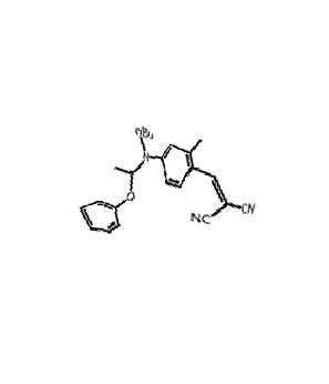 CCCCN(c1ccc(C=C(C#N)C#N)c(C)c1)C(C)Oc1ccccc1